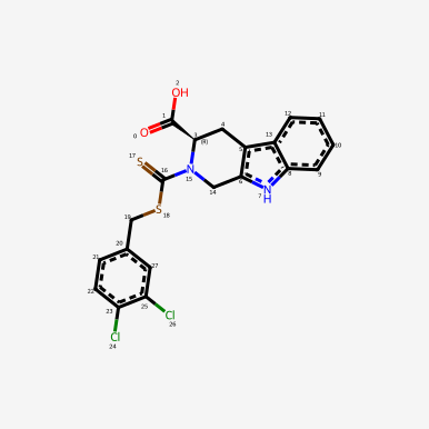 O=C(O)[C@H]1Cc2c([nH]c3ccccc23)CN1C(=S)SCc1ccc(Cl)c(Cl)c1